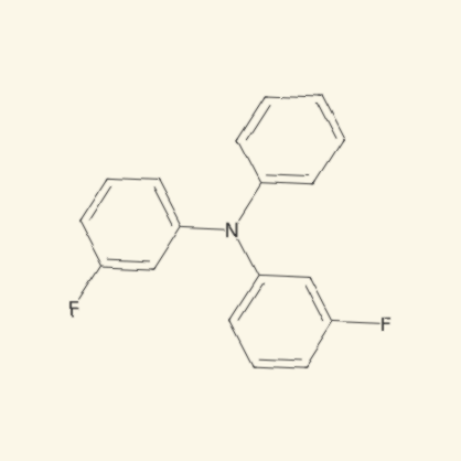 Fc1cccc(N(c2ccccc2)c2cccc(F)c2)c1